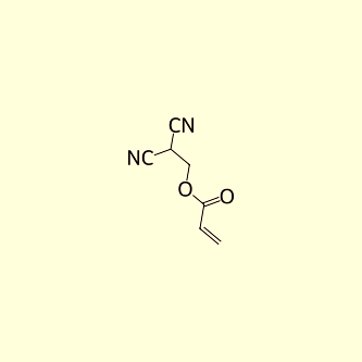 C=CC(=O)OCC(C#N)C#N